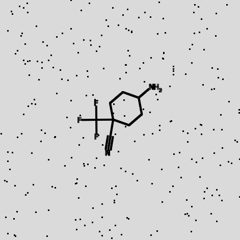 N#CC1(C(F)(F)F)CCC(N)CC1